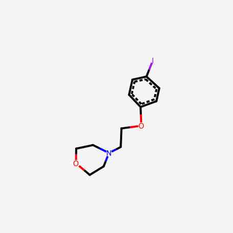 Ic1ccc(OCCN2CCOCC2)cc1